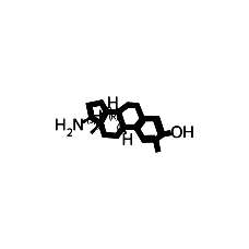 Cc1cc2c(cc1O)CC[C@@H]1[C@@H]2CC[C@]2(C)[C@@H](N)CC[C@@H]12